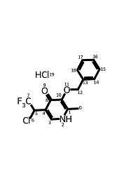 Cc1[nH]cc(C(Cl)C(F)(F)F)c(=O)c1OCc1ccccc1.Cl